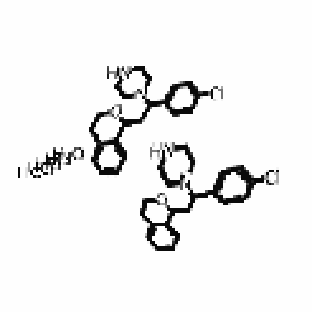 Cl.Cl.Cl.Cl.Clc1ccc(C(CC2OCCc3ccccc32)N2CCNCC2)cc1.Clc1ccc(C(CC2OCCc3ccccc32)N2CCNCC2)cc1.O